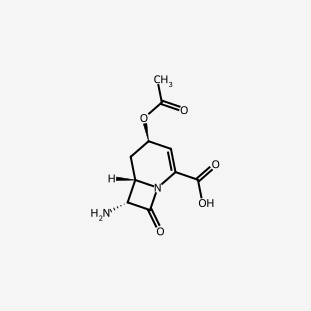 CC(=O)O[C@H]1C=C(C(=O)O)N2C(=O)[C@H](N)[C@@H]2C1